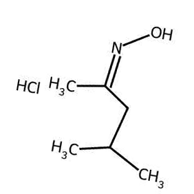 C/C(CC(C)C)=N/O.Cl